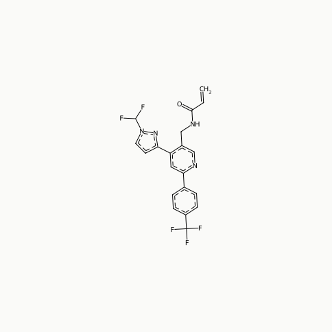 C=CC(=O)NCc1cnc(-c2ccc(C(F)(F)F)cc2)cc1-c1ccn(C(F)F)n1